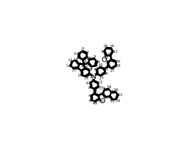 c1ccc(C2(c3ccccc3)c3ccccc3-c3ccc(N(c4ccc(-c5cccc6c5oc5ccccc56)cc4)c4ccc(-c5cccc6oc7c8ccccc8ccc7c56)cc4)cc32)cc1